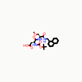 COC[C@H](NC(=O)[C@H](CC(=O)O)NC(=O)OC(C)(C)C)C(=O)NCc1cccc2ccccc12